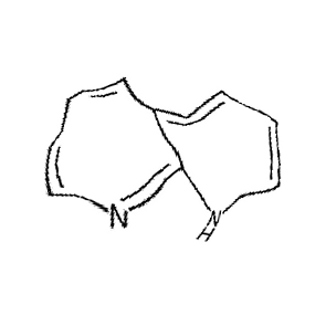 C1=CN=C2NC=CC=C2C=C1